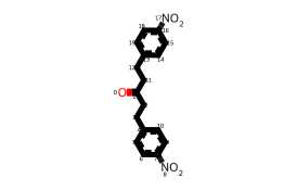 O=C(CCc1ccc([N+](=O)[O-])cc1)CCc1ccc([N+](=O)[O-])cc1